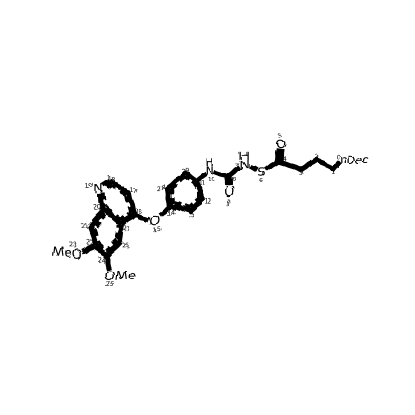 CCCCCCCCCCCCCC(=O)SNC(=O)Nc1ccc(Oc2ccnc3cc(OC)c(OC)cc23)cc1